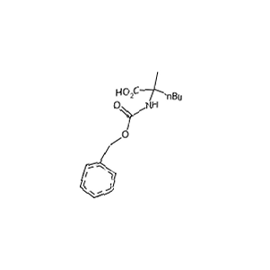 CCCCC(C)(NC(=O)OCc1ccccc1)C(=O)O